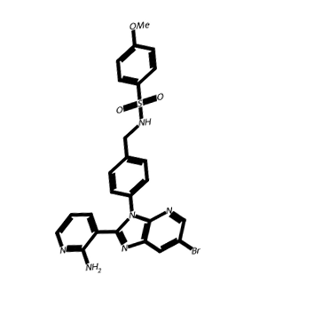 COc1ccc(S(=O)(=O)NCc2ccc(-n3c(-c4cccnc4N)nc4cc(Br)cnc43)cc2)cc1